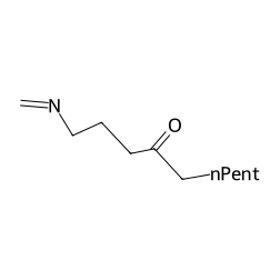 C=NCCCC(=O)CCCCCC